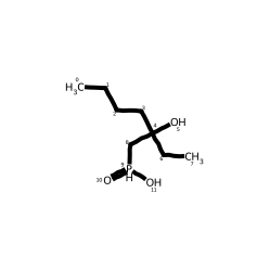 CCCCC(O)(CC)C[PH](=O)O